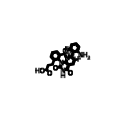 CC(C)c1cccc(CCC(=O)O)c1-n1c(=O)[nH]c(=O)c2cc(F)c(-c3c(N)cccc3F)nc21